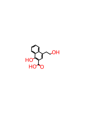 O=C(O)c1cc(CCO)c2ccccc2c1O